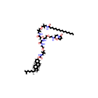 CCCCCCCCCCCCCCCC(=O)NCC(C)(C)COCC(C)(C)CNC(=O)CC[C@H](NC(=O)CCOCCNC(=O)CCN1C(=O)C=CC1=O)C(=O)NCCOCC(C)(C)CNC(=O)O[C@H]1CC[C@@]2(C)C(=CC[C@H]3[C@@H]4CC[C@H]([C@H](C)CCCC(C)C)[C@@]4(C)CC[C@@H]32)C1